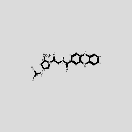 O=C(NCC(=O)N1C[C@H](OC(F)F)C[C@H]1C(=O)O)c1ccc2c(c1)Oc1ccccc1S2